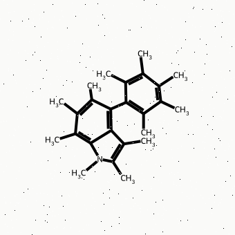 Cc1c(C)c(C)c(-c2c(C)c(C)c(C)c3c2c(C)c(C)n3C)c(C)c1C